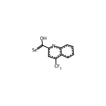 OC(=[Se])c1cc(C(F)(F)F)c2ccccc2n1